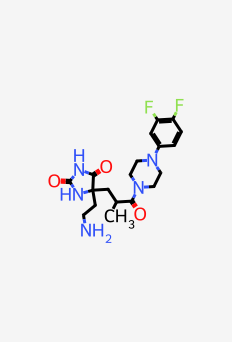 CC(CC1(CCN)NC(=O)NC1=O)C(=O)N1CCN(c2ccc(F)c(F)c2)CC1